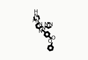 C[C@@H]1CNCCN1c1ccc2nc(-c3ccc(C(=O)OCc4ccccc4)cc3)n(-c3ccncn3)c2n1